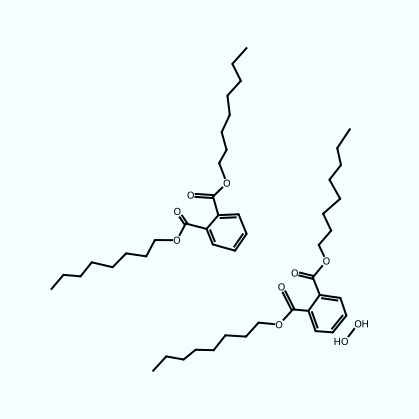 CCCCCCCCOC(=O)c1ccccc1C(=O)OCCCCCCCC.CCCCCCCCOC(=O)c1ccccc1C(=O)OCCCCCCCC.OO